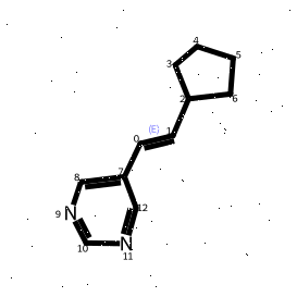 C(=C\C1CCCC1)/c1cncnc1